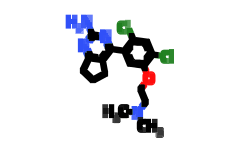 CN(C)CCOc1cc(-c2nc(N)nc3c2CCC3)c(Cl)cc1Cl